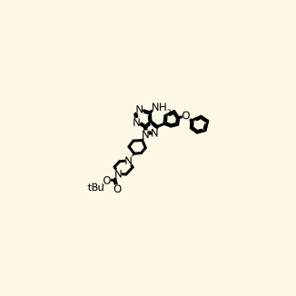 CC(C)(C)OC(=O)N1CCN([C@H]2CC[C@H](n3nc(-c4ccc(Oc5ccccc5)cc4)c4c(N)ncnc43)CC2)CC1